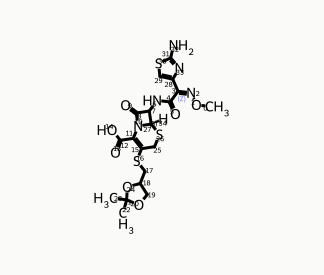 CO/N=C(\C(=O)NC1C(=O)N2C(C(=O)O)=C(SCC3COC(C)(C)O3)CS[C@@H]12)c1csc(N)n1